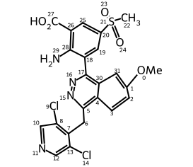 COc1ccc2c(Cc3c(Cl)cncc3Cl)nnc(-c3cc(S(C)(=O)=O)cc(C(=O)O)c3N)c2c1